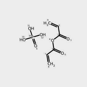 C=CC(=O)OC(=O)C=C.O=P(O)(O)O